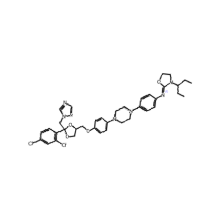 CCC(CC)N1CCO/C1=N\c1ccc(N2CCN(c3ccc(OCC4COC(Cn5cncn5)(c5ccc(Cl)cc5Cl)O4)cc3)CC2)cc1